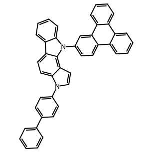 c1ccc(-c2ccc(-n3ccc4c3ccc3c5ccccc5n(-c5ccc6c7ccccc7c7ccccc7c6c5)c34)cc2)cc1